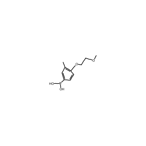 COCCOc1ccc(B(O)O)cc1C